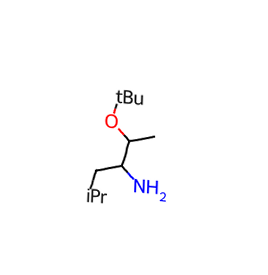 CC(C)CC(N)C(C)OC(C)(C)C